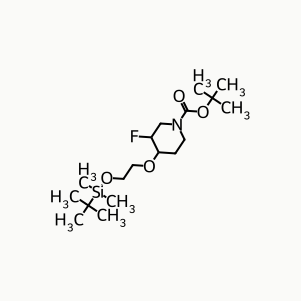 CC(C)(C)OC(=O)N1CCC(OCCO[Si](C)(C)C(C)(C)C)C(F)C1